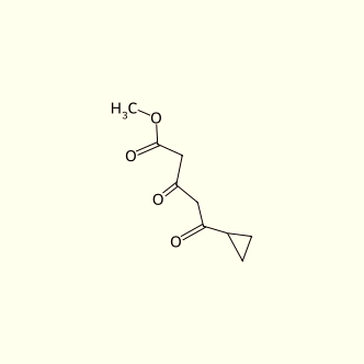 COC(=O)CC(=O)CC(=O)C1CC1